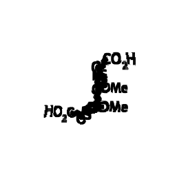 COc1cc2sc(C(=O)CCC(=O)O)cc2cc1CCCOc1cc2nc(C(=O)CCC(=O)O)sc2cc1OC